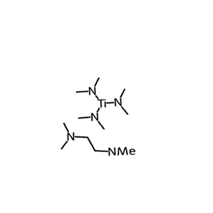 CNCCN(C)C.C[N](C)[Ti]([N](C)C)[N](C)C